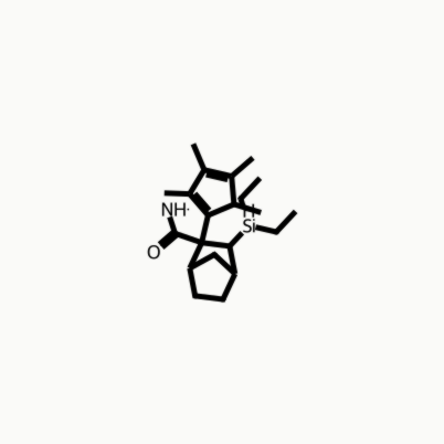 CC[SiH](CC)C1C2CCC(C2)C1(C([NH])=O)C1=C(C)C(C)=C(C)C1C